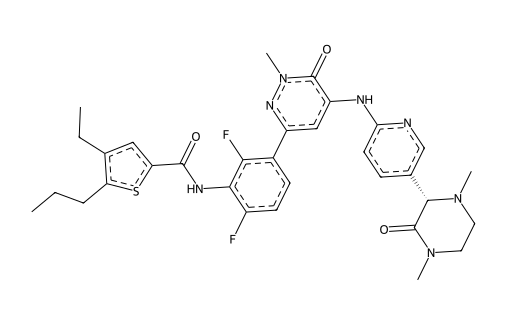 CCCc1sc(C(=O)Nc2c(F)ccc(-c3cc(Nc4ccc([C@H]5C(=O)N(C)CCN5C)cn4)c(=O)n(C)n3)c2F)cc1CC